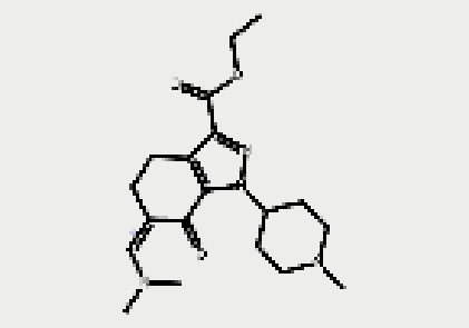 CCOC(=O)c1nn(C2CCN(C)CC2)c2c1CC/C(=C/N(C)C)C2=O